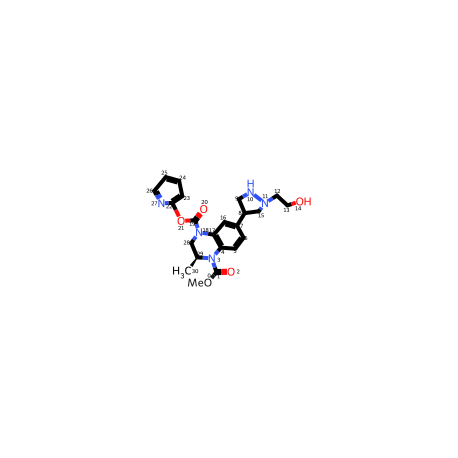 COC(=O)N1c2ccc(C3CNN(CCO)C3)cc2N(C(=O)Oc2ccccn2)C[C@@H]1C